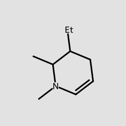 CCC1CC=CN(C)C1C